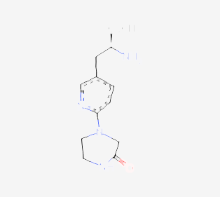 N[C@@H](Cc1ccc(N2CCNC(=O)C2)nc1)C(=O)O